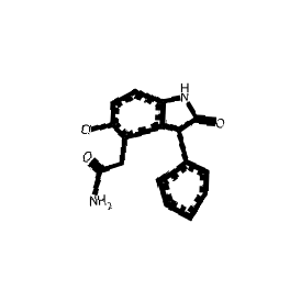 NC(=O)Cc1c(Cl)ccc2c1C(c1ccccc1)C(=O)N2